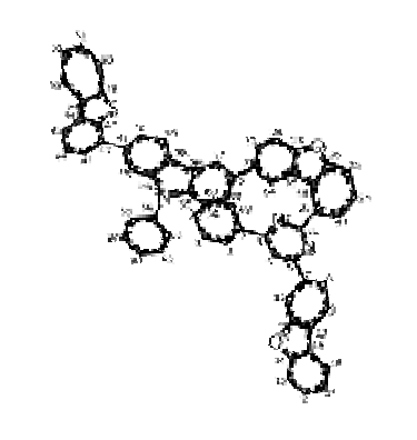 c1ccc(-c2cc(-c3ccc4c(c3)oc3ccccc34)nc(-c3cccc4oc5ccc(-c6ccc7c(c6)c6ccc(-c8cccc9c8sc8ccccc89)cc6n7-c6ccccc6)cc5c34)n2)cc1